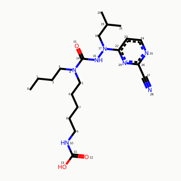 CCCCN(CCCCCNC(=O)O)C(=O)NN(CC(C)C)c1ccnc(C#N)n1